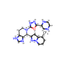 FC(F)(F)c1cccn2nc(C3c4nc[nH]c4CCN3c3nnc(-c4cnccn4)o3)cc12